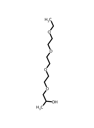 CCOCCOCCOCCOCC(C)O